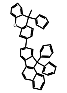 CC1(c2ccccc2)c2ccccc2Oc2cc(-c3ccc4c(c3)C(c3ccccc3)(c3ccccc3)c3c-4ccc4ccccc34)ccc21